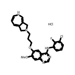 COc1cc2ncnc(Nc3cccc(Cl)c3F)c2cc1OCCCN1CC2=CC=CNC=C2C1.Cl